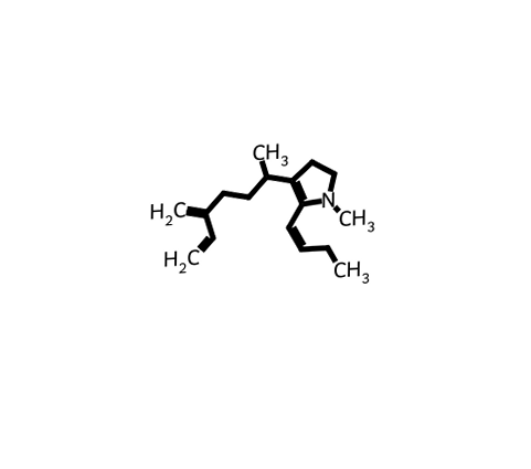 C=CC(=C)CCC(C)C1=C(/C=C\CC)N(C)CC1